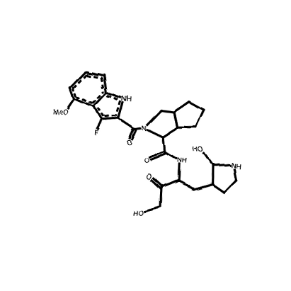 COc1cccc2[nH]c(C(=O)N3CC4CCCC4C3C(=O)NC(CC3CCNC3O)C(=O)CO)c(F)c12